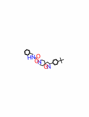 CC(C)(C)c1ccc(C2=NOC3(CCN(OC(=O)NCc4ccccc4)CC3)C2)cc1